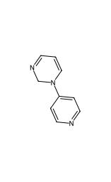 C1=CN(c2ccncc2)CN=C1